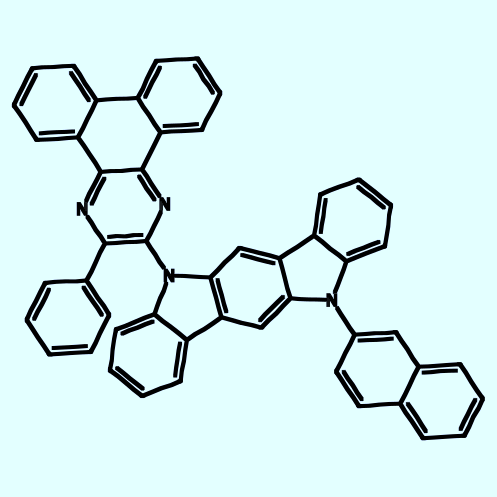 c1ccc(-c2nc3c4ccccc4c4ccccc4c3nc2-n2c3ccccc3c3cc4c(cc32)c2ccccc2n4-c2ccc3ccccc3c2)cc1